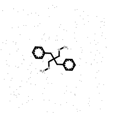 COCC(COC)(Cc1ccccc1)Cc1ccccc1